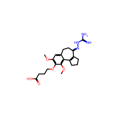 COc1cc2c(c(OC)c1OCCCC(=O)O)C1=C(CCC1)C(=NNC(=N)N)CC2